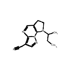 CCC(C)N1CCc2cnc3c(C#N)cnn3c21